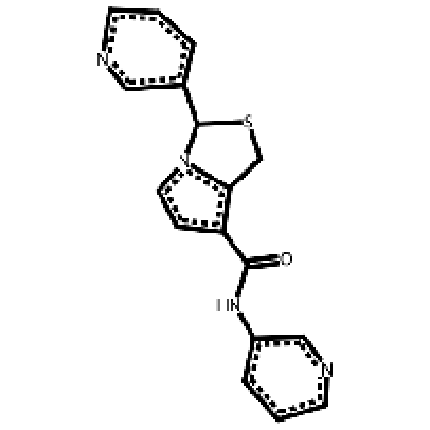 O=C(Nc1cccnc1)c1ccn2c1CSC2c1cccnc1